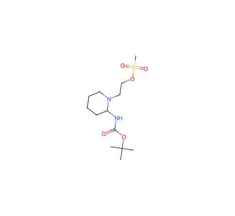 CC(C)(C)OC(=O)NC1CCCCN1CCOS(C)(=O)=O